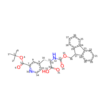 CC(C)(C)OC(=O)c1cc(C[C@H](NC(=O)OCC2c3ccccc3-c3ccccc32)C(=O)O)ccn1